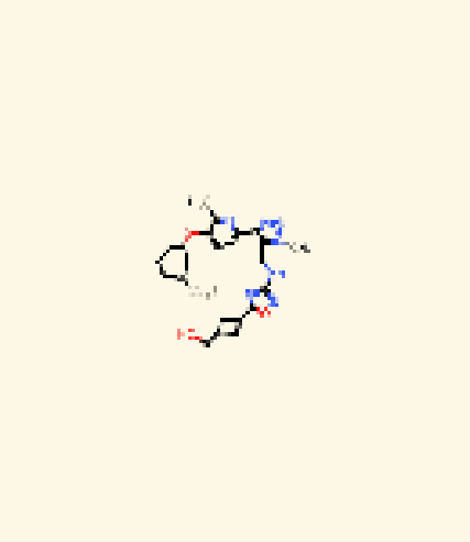 Cc1nc(-c2nnn(C)c2CNc2noc(C3CC(CO)C3)n2)ccc1OC1CCCC(C(=O)O)C1